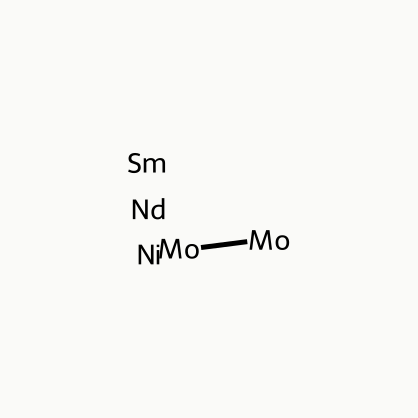 [Mo][Mo].[Nd].[Ni].[Sm]